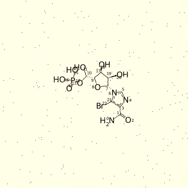 NC(=O)c1ncn([C@@H]2O[C@H](C(O)OP(=O)(O)O)[C@@H](O)[C@H]2O)c1Br